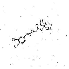 CC(C)(C)OC(=O)CON=Cc1ccc(Cl)c(Cl)c1